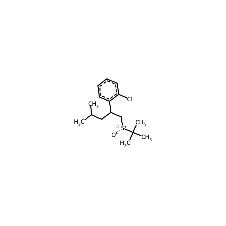 CC(C)CC(C[S@@+]([O-])C(C)(C)C)c1ccccc1Cl